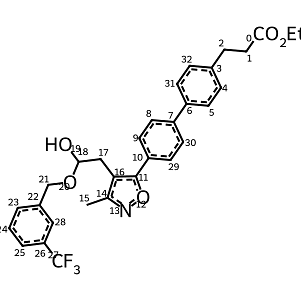 CCOC(=O)CCc1ccc(-c2ccc(-c3onc(C)c3CC(O)OCc3cccc(C(F)(F)F)c3)cc2)cc1